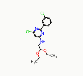 CCOC(CNc1cc(Cl)nc(-c2cccc(Cl)c2)n1)OCC